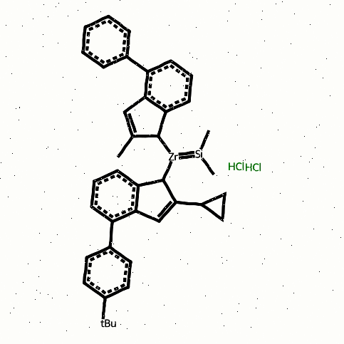 CC1=Cc2c(-c3ccccc3)cccc2[CH]1[Zr]([CH]1C(C2CC2)=Cc2c(-c3ccc(C(C)(C)C)cc3)cccc21)=[Si](C)C.Cl.Cl